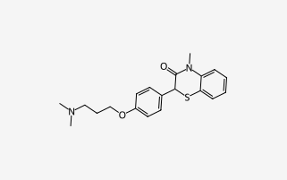 CN(C)CCCOc1ccc(C2Sc3ccccc3N(C)C2=O)cc1